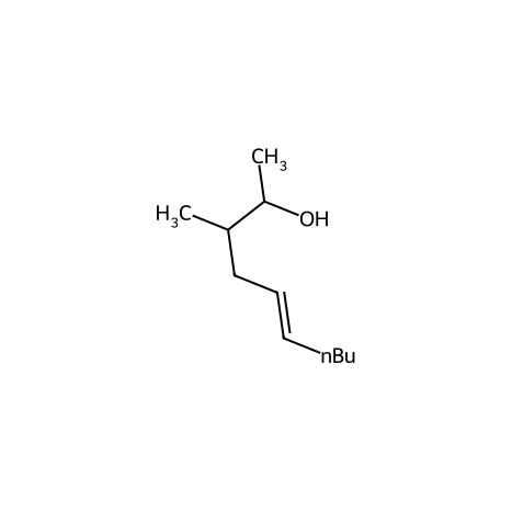 CCCCC=CCC(C)C(C)O